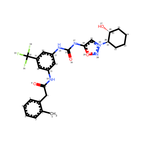 Cc1ccccc1CC(=O)Nc1cc(NC(=O)[N-]c2c[n+]([C@@H]3CCCC[C@H]3O)no2)cc(C(F)(F)F)c1